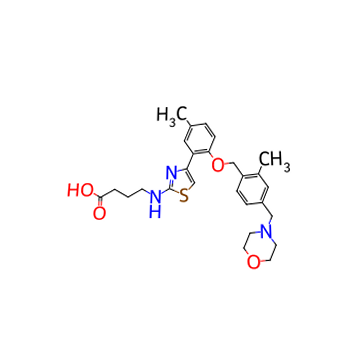 Cc1ccc(OCc2ccc(CN3CCOCC3)cc2C)c(-c2csc(NCCCC(=O)O)n2)c1